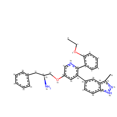 CCOc1ccccc1-c1ncc(OC[C@@H](N)Cc2ccccc2)cc1-c1ccc2[nH]nc(C)c2c1